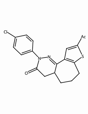 CC(=O)c1cc2c(s1)CCCC1CC(=O)N(c3ccc(Cl)cc3)N=C21